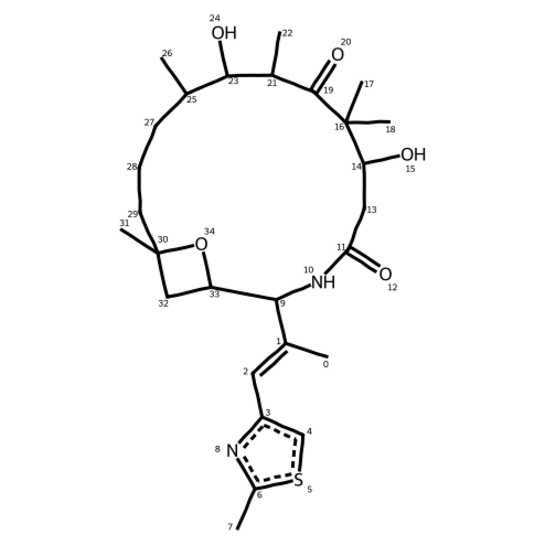 C/C(=C\c1csc(C)n1)C1NC(=O)CC(O)C(C)(C)C(=O)C(C)C(O)C(C)CCCC2(C)CC1O2